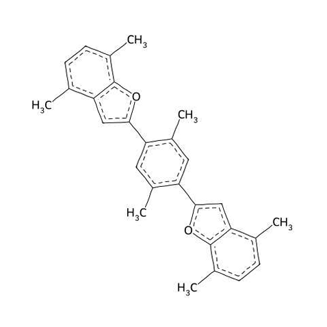 Cc1cc(-c2cc3c(C)ccc(C)c3o2)c(C)cc1-c1cc2c(C)ccc(C)c2o1